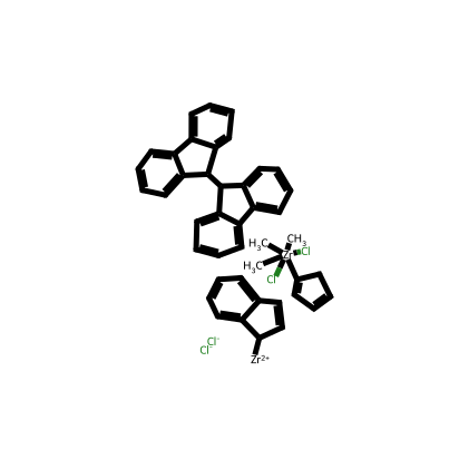 [CH3][Zr]([CH3])([CH3])([Cl])([Cl])[C]1=CC=CC1.[Cl-].[Cl-].[Zr+2][CH]1C=Cc2ccccc21.c1ccc2c(c1)-c1ccccc1C2C1c2ccccc2-c2ccccc21